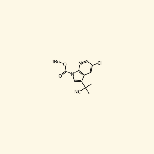 CC(C)(C)OC(=O)n1cc(C(C)(C)C#N)c2cc(Cl)cnc21